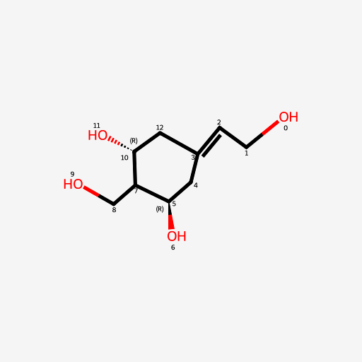 OCC=C1C[C@@H](O)C(CO)[C@H](O)C1